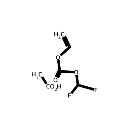 C=COC(=O)OC(F)F.CC(=O)O